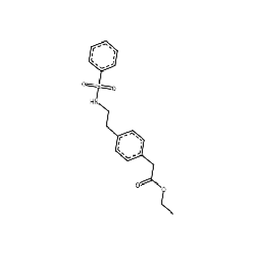 CCOC(=O)Cc1ccc(CCNS(=O)(=O)c2ccccc2)cc1